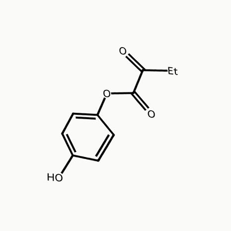 CCC(=O)C(=O)Oc1ccc(O)cc1